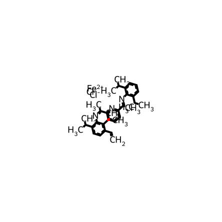 C=Cc1ccc(C(C)C)c(N=C(C)c2cccc(C(C)=Nc3c(C(C)C)cccc3C(C)C)n2)c1C(C)C.[Cl-].[Cl-].[Fe+2]